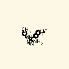 CN1CCC(Cn2nc(-c3ccc4cc(OC(F)F)ccc4c3)c3c(N)ncnc32)CC1